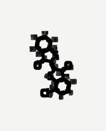 O=C1C(=C2Sc3c(Cl)cccc3C2=O)Sc2ccccc21